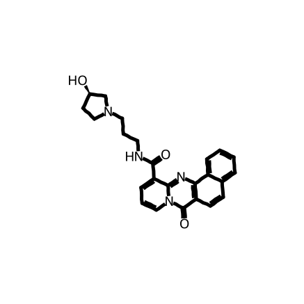 O=C(NCCCN1CC[C@@H](O)C1)c1cccn2c(=O)c3ccc4ccccc4c3nc12